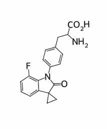 NC(Cc1ccc(N2C(=O)C3(CC3)c3cccc(F)c32)cc1)C(=O)O